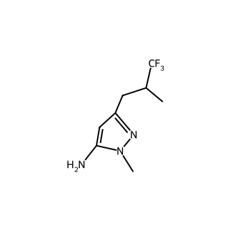 CC(Cc1cc(N)n(C)n1)C(F)(F)F